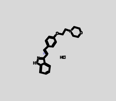 C(=C\c1n[nH]c2ccccc12)/c1ccc(OCCN2CCOCC2)cc1.Cl